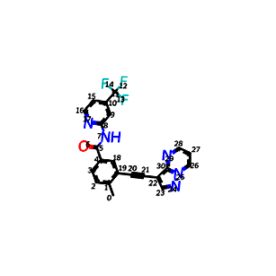 Cc1ccc(C(=O)Nc2cc(C(F)(F)F)ccn2)cc1C#Cc1cnn2cccnc12